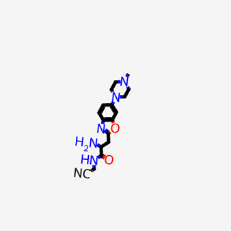 CN1CCN(c2ccc3nc(CC(N)C(=O)NCC#N)oc3c2)CC1